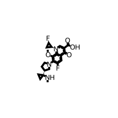 CNC1([C@@H]2CCN(c3c(F)cc4c(=O)c(C(=O)O)cn([C@@H]5C[C@@H]5F)c4c3OC)C2)CC1